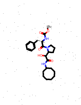 CC(C)(C)OC(=O)N[C@@H](Cc1ccccc1)C(=O)N1CCCC1C(O)C(=O)NC1CCCCCCC1